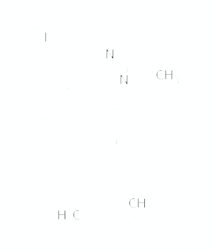 CC(C)c1ccc2c(I)nn(C)c2c1